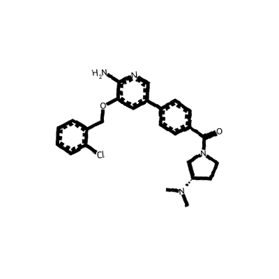 CN(C)[C@H]1CCN(C(=O)c2ccc(-c3cnc(N)c(OCc4ccccc4Cl)c3)cc2)C1